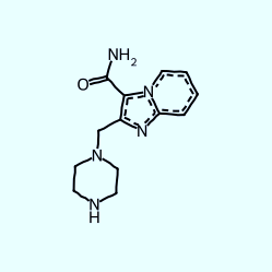 NC(=O)c1c(CN2CCNCC2)nc2ccccn12